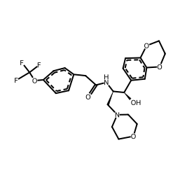 O=C(Cc1ccc(OC(F)(F)F)cc1)N[C@H](CN1CCOCC1)[C@H](O)c1ccc2c(c1)OCCO2